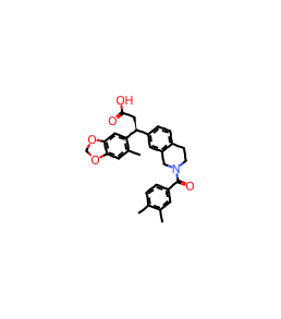 Cc1ccc(C(=O)N2CCc3ccc([C@H](CC(=O)O)c4cc5c(cc4C)OCO5)cc3C2)cc1C